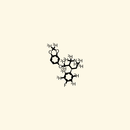 [2H]c1c([2H])c([C@@H]2CC([2H])([2H])NC([2H])([2H])C2C([2H])([2H])Oc2ccc3c(c2)OC([2H])([2H])O3)c([2H])c([2H])c1F